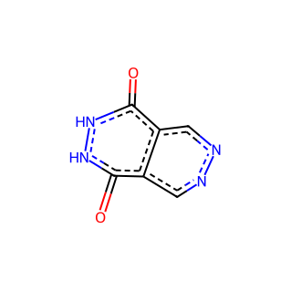 O=c1[nH][nH]c(=O)c2cnncc12